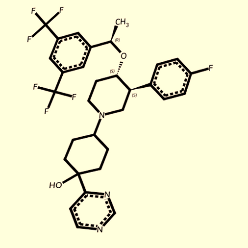 C[C@@H](O[C@H]1CCN(C2CCC(O)(c3ccncn3)CC2)C[C@@H]1c1ccc(F)cc1)c1cc(C(F)(F)F)cc(C(F)(F)F)c1